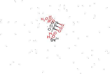 O.O.O.O.O.O=[N+]([O-])[O-].O=[N+]([O-])[O-].O=[N+]([O-])[O-].[Dy+3]